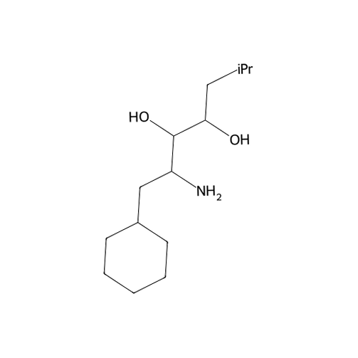 CC(C)CC(O)C(O)C(N)CC1CCCCC1